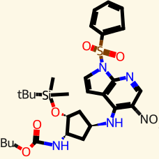 CC(C)(C)OC(=O)N[C@H]1C[C@H](Nc2c([N+](=O)[O-])cnc3c2ccn3S(=O)(=O)c2ccccc2)C[C@H]1O[Si](C)(C)C(C)(C)C